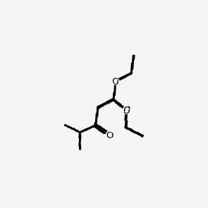 CCOC(CC(=O)C(C)C)OCC